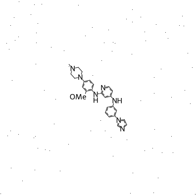 COc1cc(N2CCN(C)CC2)ccc1Nc1cc(Nc2cccc(-n3ccnc3)c2)ccn1